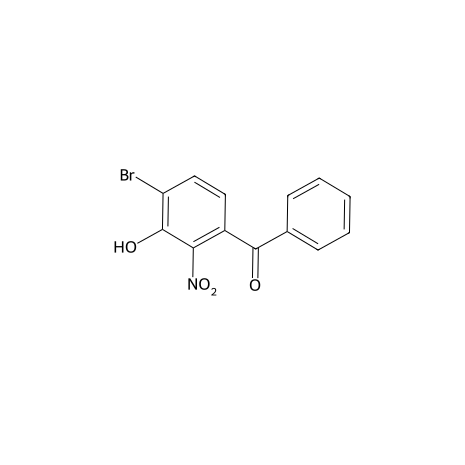 O=C(c1ccccc1)c1ccc(Br)c(O)c1[N+](=O)[O-]